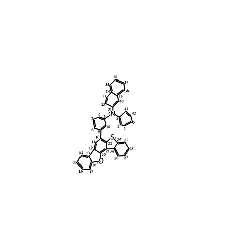 c1ccc(N(c2cccc(-c3cc4c5ccccc5oc4c4c3sc3ccccc34)c2)c2ccc3ccccc3c2)cc1